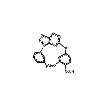 COc1cc(Nc2ncc3nnn(-c4cccc(F)c4)c3n2)ccc1C(=O)O